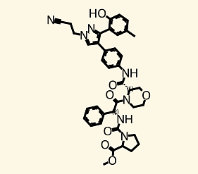 COC(=O)C1CCCN1C(=O)N[C@@H](C(=O)N1CCOC[C@H]1C(=O)Nc1ccc(-c2cn(CCC#N)nc2-c2cc(C)ccc2O)cc1)c1ccccc1